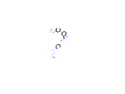 CN(C)CCN(C)c1ccc(NC(=O)c2n[nH]c3ccc(-c4cncc(CN(C)C)c4)cc23)cn1